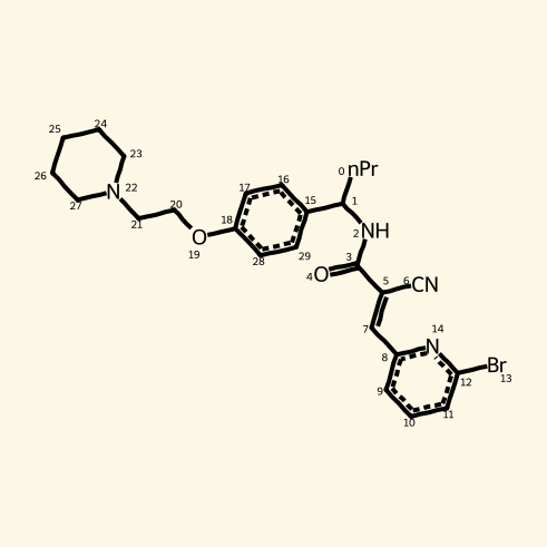 CCCC(NC(=O)/C(C#N)=C/c1cccc(Br)n1)c1ccc(OCCN2CCCCC2)cc1